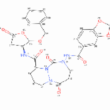 O=C1C[C@H](NC(=O)[C@@H]2CCCN3C(=O)CCN(NC(=O)c4ccc5c(c4)OCO5)C(=O)N23)C(OCc2ccccc2)O1